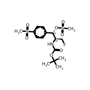 CC(C)(C)OC(=O)N[C@H](CF)[C@@H](OS(C)(=O)=O)c1ccc(S(C)(=O)=O)cc1